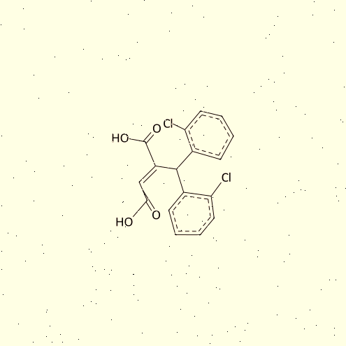 O=C(O)/C=C(/C(=O)O)C(c1ccccc1Cl)c1ccccc1Cl